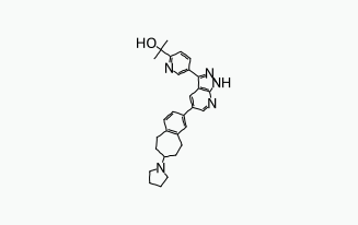 CC(C)(O)c1ccc(-c2n[nH]c3ncc(-c4ccc5c(c4)CCC(N4CCCC4)CC5)cc23)cn1